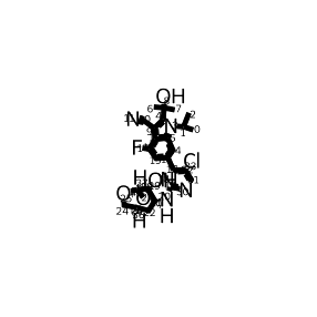 CC(C)n1c(C(C)(C)O)c(C#N)c2c(F)cc(-c3nc(N[C@@H]4C[C@H]5CO[C@H](O5)[C@H]4O)ncc3Cl)cc21